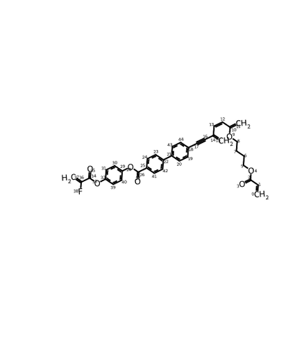 C=CC(=O)OCCCCOC(=C)/C=C\C(=C)C#Cc1ccc(-c2ccc(C(=O)Oc3ccc(OC(=O)C(=C)F)cc3)cc2)cc1